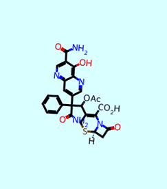 CC(=O)OC(C1=C(C(=O)O)N2C(=O)C[C@H]2SC1)C(C(N)=O)(c1ccccc1)c1cnc2c(O)c(C(N)=O)cnc2c1